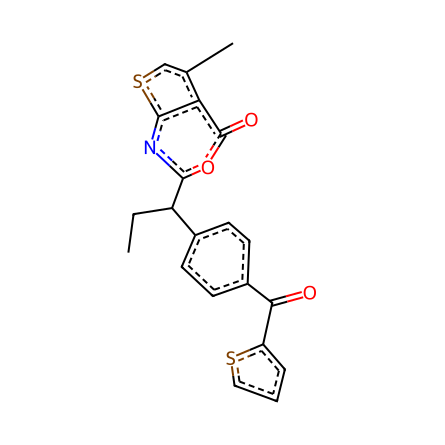 CCC(c1ccc(C(=O)c2cccs2)cc1)c1nc2scc(C)c2c(=O)o1